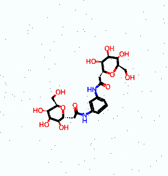 O=C(C[C@H]1O[C@H](CO)[C@@H](O)[C@H](O)[C@@H]1O)Nc1cccc(NC(=O)C[C@H]2O[C@H](CO)[C@@H](O)[C@H](O)[C@@H]2O)c1